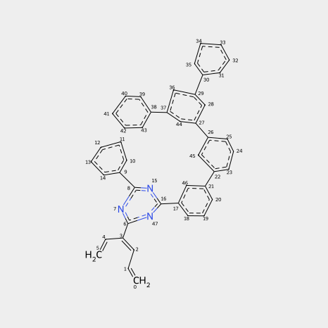 C=C/C=C(\C=C)c1nc(-c2ccccc2)nc(-c2cccc(-c3cccc(-c4cc(-c5ccccc5)cc(-c5ccccc5)c4)c3)c2)n1